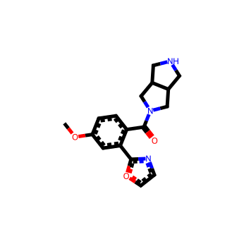 COc1ccc(C(=O)N2CC3CNCC3C2)c(-c2ncco2)c1